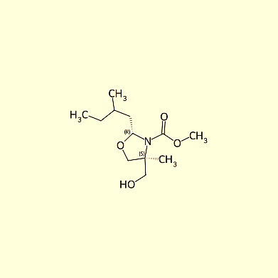 CCC(C)C[C@H]1OC[C@](C)(CO)N1C(=O)OC